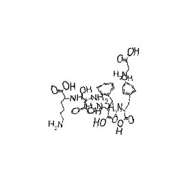 NC(CO)C(=O)O.NC(Cc1ccc(O)cc1)C(=O)O.NC(Cc1ccccc1)C(=O)O.NCC(=O)O.NCCCCC(N)C(=O)O